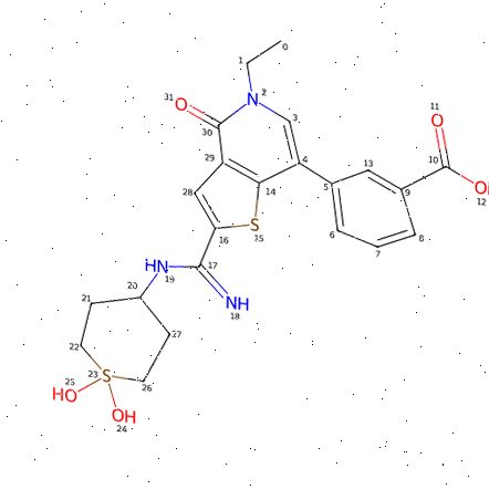 CCn1cc(-c2cccc(C(=O)O)c2)c2sc(C(=N)NC3CCS(O)(O)CC3)cc2c1=O